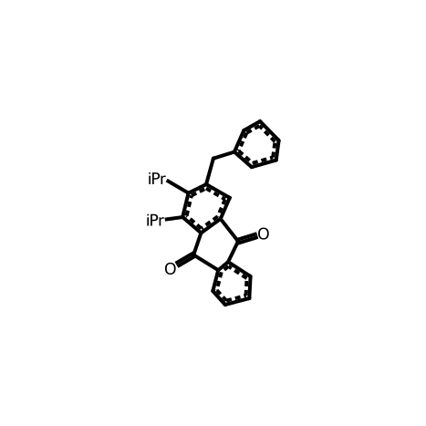 CC(C)c1c(Cc2ccccc2)cc2c(c1C(C)C)C(=O)c1ccccc1C2=O